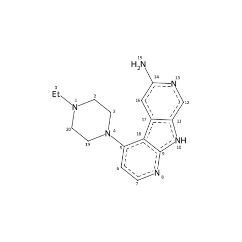 CCN1CCN(c2ccnc3[nH]c4cnc(N)cc4c23)CC1